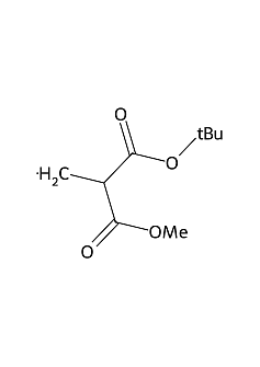 [CH2]C(C(=O)OC)C(=O)OC(C)(C)C